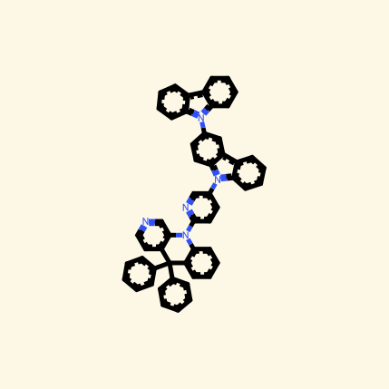 c1ccc(C2(c3ccccc3)c3ccccc3N(c3ccc(-n4c5ccccc5c5cc(-n6c7ccccc7c7ccccc76)ccc54)cn3)c3cnccc32)cc1